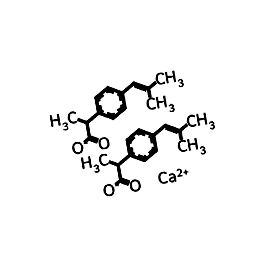 CC(C)=Cc1ccc(C(C)C(=O)[O-])cc1.CC(C)=Cc1ccc(C(C)C(=O)[O-])cc1.[Ca+2]